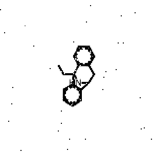 CCC12NC(Cc3ccccc31)c1ccccc12